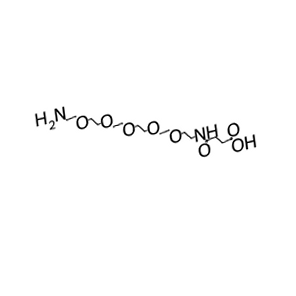 NCCOCCOCCOCCOCCOCCNC(=O)CCC(=O)O